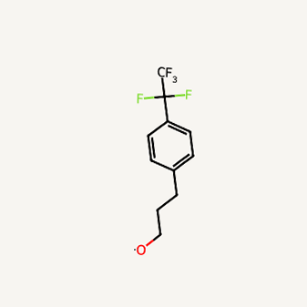 [O]CCCc1ccc(C(F)(F)C(F)(F)F)cc1